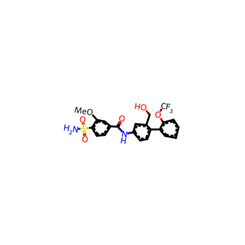 COc1cc(C(=O)Nc2ccc(-c3ccccc3OC(F)(F)F)c(CO)c2)ccc1S(N)(=O)=O